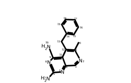 Cc1ncc2nc(N)nc(N)c2c1Cc1ccccc1